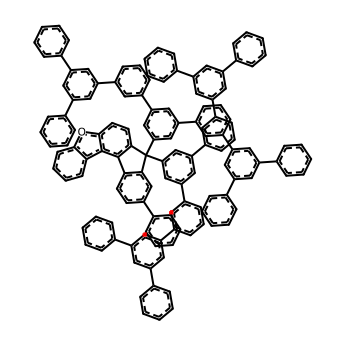 c1ccc(-c2cc(-c3ccccc3)cc(-c3cccc(-c4cc(-c5cccc(-c6cc(-c7ccccc7)cc(-c7ccccc7)c6)c5)cc(C5(c6cc(-c7cccc(-c8cc(-c9ccccc9)cc(-c9ccccc9)c8)c7)cc(-c7cccc(-c8cc(-c9ccccc9)cc(-c9ccccc9)c8)c7)c6)c6cc(-c7ccccc7)ccc6-c6c5ccc5oc7ccccc7c65)c4)c3)c2)cc1